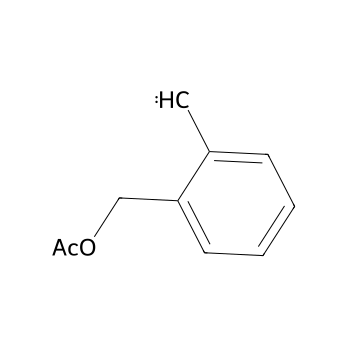 [CH]c1ccccc1COC(C)=O